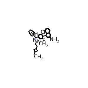 C=Nc1c(/C(=N\CCCC2CC(CC)C2)N2CC3CCC(C2)N3)cc(Cl)c(-c2cc(N)cc3ccccc23)c1F